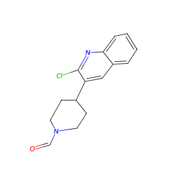 O=CN1CCC(c2cc3ccccc3nc2Cl)CC1